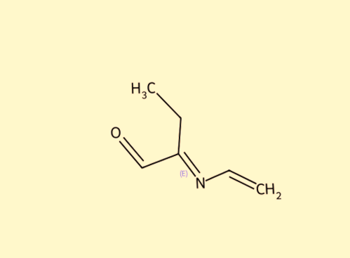 C=C/N=C(/C=O)CC